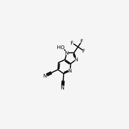 N#Cc1cc2c(nc1C#N)nc(C(F)(F)F)n2O